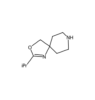 CC(C)C1=NC2(CCNCC2)CO1